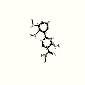 CNC(=O)c1cnc(-c2cccc(OC)c2OC)nc1N